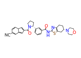 N#CC1=CC2=CC(C(=O)N3CCC[C@@H]3c3cccc(C(=O)Nc4nc5c(s4)C[C@@H](N4CCOCC4)CC5)c3)=CC2C=C1